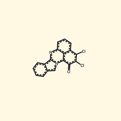 O=c1c(Cl)c(Cl)c2cccc3nc4c5ccccc5cn4c1c32